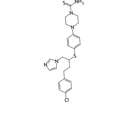 NC(=S)N1CCN(c2ccc(SC(CCc3ccc(Cl)cc3)Cn3ccnc3)cc2)CC1